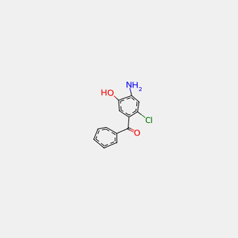 Nc1cc(Cl)c(C(=O)c2ccccc2)cc1O